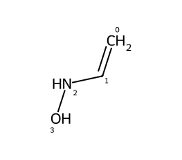 C=CNO